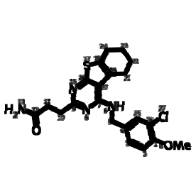 COc1ccc(CNc2nc(CCC(N)=O)nc3sc4c(c23)CCCC4)cc1Cl